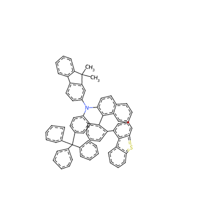 CC1(C)c2ccccc2-c2ccc(N(c3ccc(C(c4ccccc4)(c4ccccc4)c4ccccc4)cc3)c3ccc4ccccc4c3-c3ccccc3-c3cccc4sc5ccccc5c34)cc21